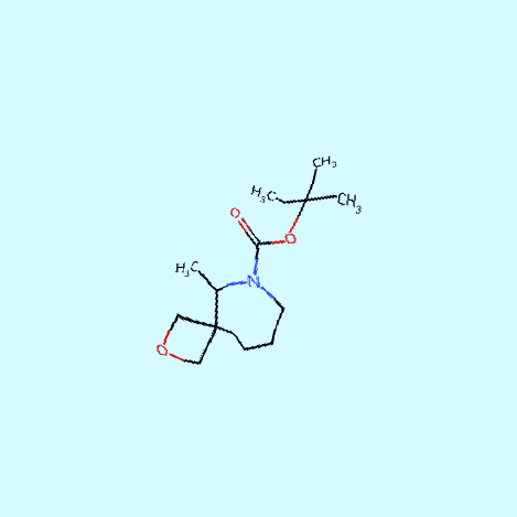 CC1N(C(=O)OC(C)(C)C)CCCC12COC2